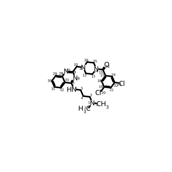 CN(C)CCCNc1nc(CN2CCN(C(=O)c3cc(Cl)cc(Cl)c3)CC2)nc2ccccc12